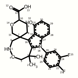 CC1(C)CONCC2(CCC(C(=O)O)OC2)c2c1n(-c1ccc(F)c(F)c1)c1cccc(O)c21